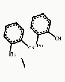 CC.CC(C)(C)c1ccccc1C#N.CC(C)(C)c1ccccc1C#N